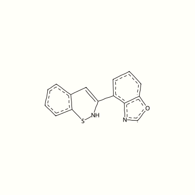 [c]1nc2c(C3=Cc4ccccc4SN3)cccc2o1